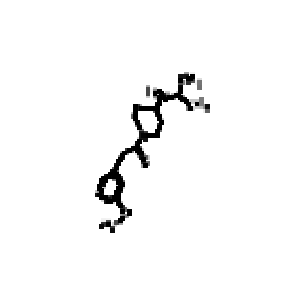 COc1cccc(CC(=O)N2CCC(NC(C)C)CC2)c1